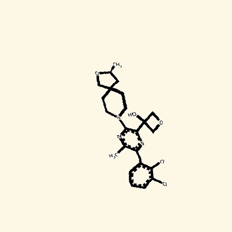 Cc1nc(N2CCC3(CC2)CO[C@@H](C)C3)c(C2(O)COC2)nc1-c1cccc(Cl)c1Cl